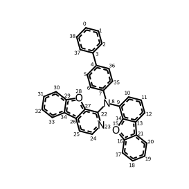 c1ccc(-c2ccc(N(c3cccc4c3oc3ccccc34)c3nccc4c3oc3ccccc34)cc2)cc1